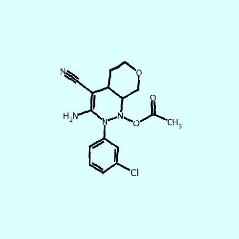 CC(=O)ON1C2COCCC2C(C#N)=C(N)N1c1cccc(Cl)c1